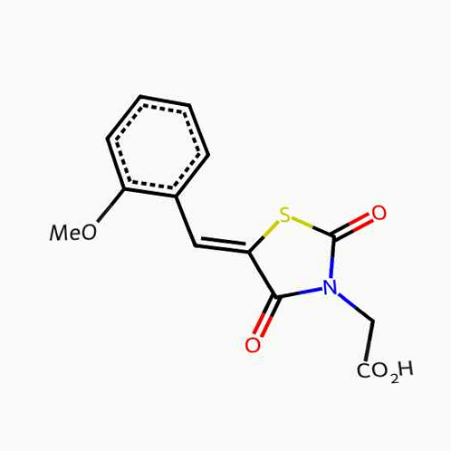 COc1ccccc1C=C1SC(=O)N(CC(=O)O)C1=O